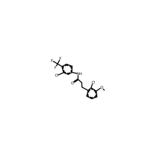 COc1cccc(CCC(=O)Nc2ccc(C(F)(F)F)c(Cl)c2)c1Cl